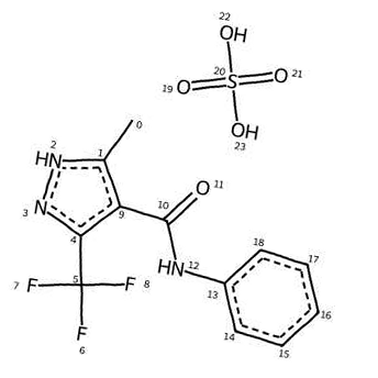 Cc1[nH]nc(C(F)(F)F)c1C(=O)Nc1ccccc1.O=S(=O)(O)O